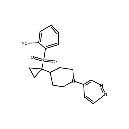 N#Cc1ccccc1S(=O)(=O)C1(C2CCN(c3ccnnc3)CC2)CC1